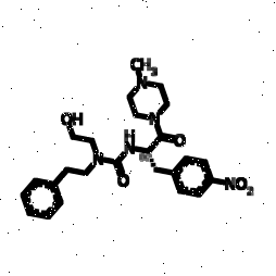 CN1CCN(C(=O)[C@H](Cc2ccc([N+](=O)[O-])cc2)NC(=O)N(CCO)CCc2ccccc2)CC1